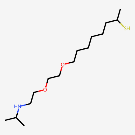 CC(S)CCCCCCOCCOCCNC(C)C